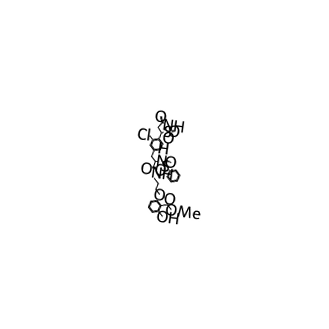 COC(=O)c1c(O)cccc1OCCCNC(=O)C(Cc1ccc(C2CC(=O)NS2(=O)=O)c(Cl)c1)NS(=O)(=O)c1ccccc1